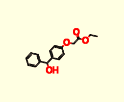 CCOC(=O)COc1ccc(C(O)c2ccccc2)cc1